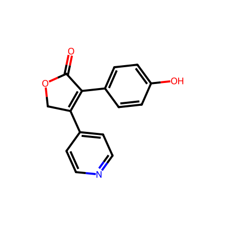 O=C1OCC(c2ccncc2)=C1c1ccc(O)cc1